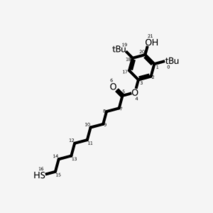 CC(C)(C)c1cc(OC(=O)CCCCCCCCCS)cc(C(C)(C)C)c1O